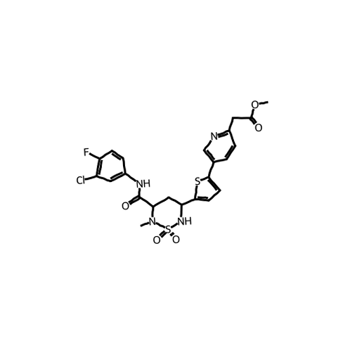 COC(=O)Cc1ccc(-c2ccc(C3CC(C(=O)Nc4ccc(F)c(Cl)c4)N(C)S(=O)(=O)N3)s2)cn1